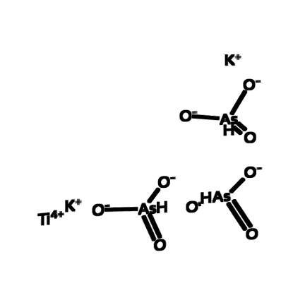 O=[AsH]([O-])[O-].O=[AsH]([O-])[O-].O=[AsH]([O-])[O-].[K+].[K+].[Ti+4]